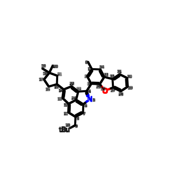 Cc1cc(C2=Nc3cc(CC(C)(C)C)cc4cc(C5CCC(C)(C)C5)cc2c34)c2oc3ccccc3c2c1